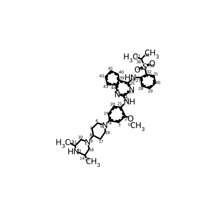 COc1cc(N2CCC(N3CC(C)NC(C)C3)CC2)ccc1Nc1nc(Nc2ccccc2S(=O)(=O)C(C)C)c2ccccc2n1